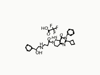 O=C(CCNCC(O)c1ccccc1)N1CCc2nc(C3CCC3)n(-c3ccccc3)c(=O)c2C1S.O=C(O)C(F)(F)F